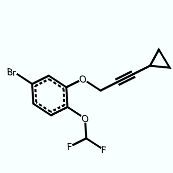 FC(F)Oc1ccc(Br)cc1OCC#CC1CC1